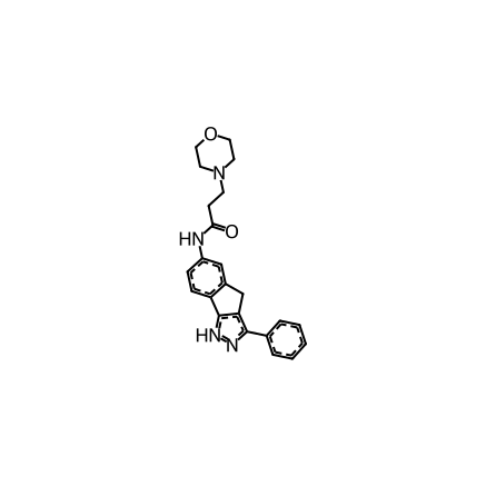 O=C(CCN1CCOCC1)Nc1ccc2c(c1)Cc1c(-c3ccccc3)n[nH]c1-2